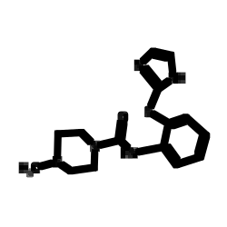 CN1CCN(C(=O)Nc2ccccc2Sc2ncc[nH]2)CC1